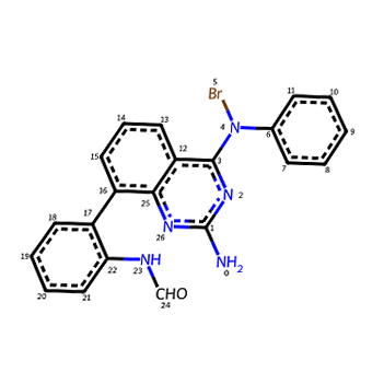 Nc1nc(N(Br)c2ccccc2)c2cccc(-c3ccccc3NC=O)c2n1